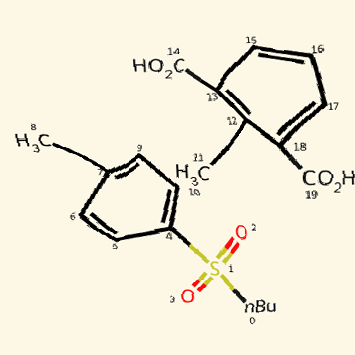 CCCCS(=O)(=O)c1ccc(C)cc1.Cc1c(C(=O)O)cccc1C(=O)O